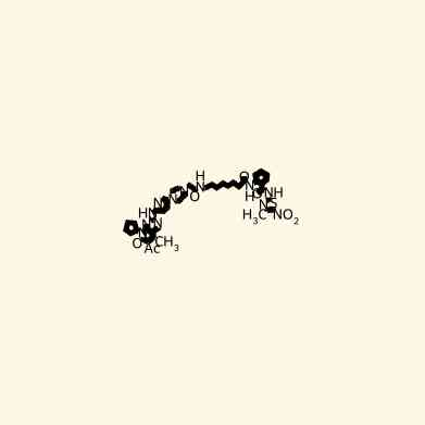 CC(=O)c1c(C)c2cnc(Nc3ccc(N4CCN(CC(=O)NCCCCCCCC(=O)Nc5ccccc5C(=O)Nc5nc(C)c([N+](=O)[O-])s5)CC4)cn3)nc2n(C2CCCC2)c1=O